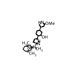 COc1cc(-c2ccc(-c3ccc(N(C)[C@@H]4C[C@]5(C)CCC[C@](C)(C4)N5)nn3)c(O)c2)cnn1